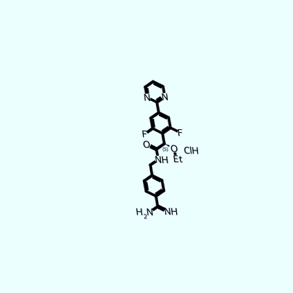 CCO[C@H](C(=O)NCc1ccc(C(=N)N)cc1)c1c(F)cc(-c2ncccn2)cc1F.Cl